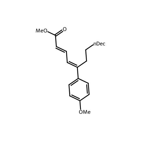 CCCCCCCCCCCCC(=CC=CC(=O)OC)c1ccc(OC)cc1